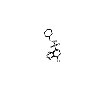 O=S(=O)(NCC1CCCCC1)c1ccc(Cl)c2nonc12